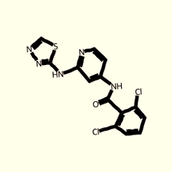 O=C(Nc1ccnc(Nc2nncs2)c1)c1c(Cl)cccc1Cl